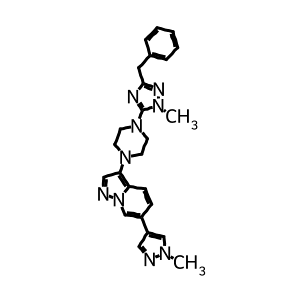 Cn1cc(-c2ccc3c(N4CCN(c5nc(Cc6ccccc6)nn5C)CC4)cnn3c2)cn1